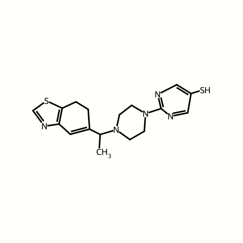 CC(C1=Cc2ncsc2CC1)N1CCN(c2ncc(S)cn2)CC1